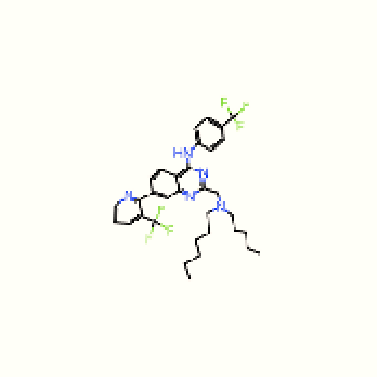 CCCCCCN(CCCCC)Cc1nc(Nc2ccc(C(F)(F)F)cc2)c2ccc(-c3ncccc3C(F)(F)F)cc2n1